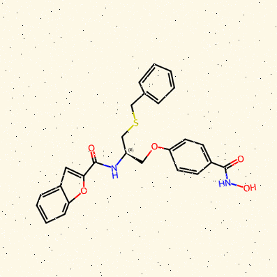 O=C(NO)c1ccc(OC[C@H](CSCc2ccccc2)NC(=O)c2cc3ccccc3o2)cc1